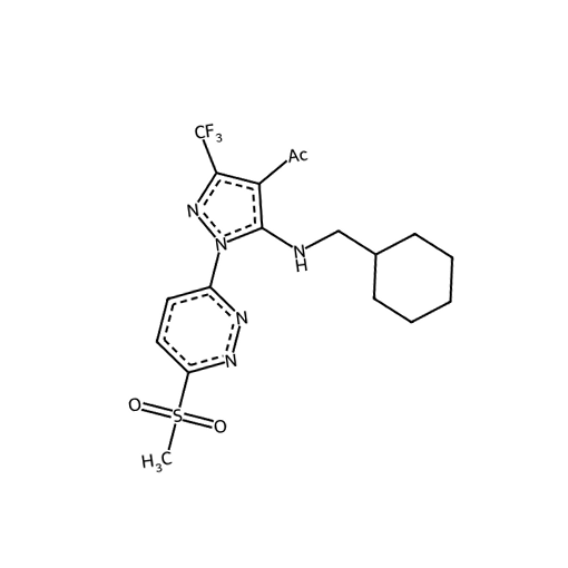 CC(=O)c1c(C(F)(F)F)nn(-c2ccc(S(C)(=O)=O)nn2)c1NCC1CCCCC1